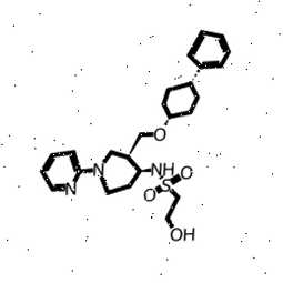 O=S(=O)(CCO)N[C@H]1CCN(c2ccccn2)C[C@H]1CO[C@H]1CC[C@@H](c2ccccc2)CC1